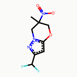 CC1([N+](=O)[O-])COc2cc(C(F)F)nn2C1